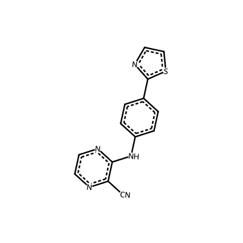 N#Cc1nccnc1Nc1ccc(-c2nccs2)cc1